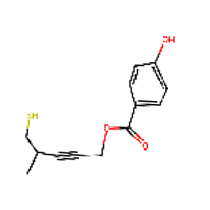 CC(C#CCOC(=O)c1ccc(O)cc1)CS